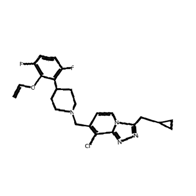 C=COc1c(F)ccc(F)c1C1CCN(Cc2ccn3c(CC4CC4)nnc3c2Cl)CC1